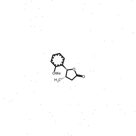 COc1ccccc1[C@H]1OC(=O)C[C@@H]1C